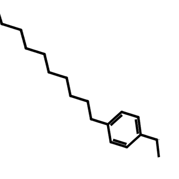 C[CH]c1ccc(CCCCCCCCCC)cc1